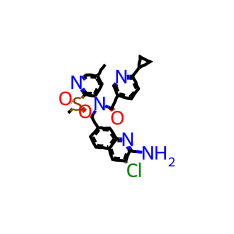 Cc1cnc(S(C)(=O)=O)c(N(Cc2ccc3cc(Cl)c(N)nc3c2)C(=O)c2ccc(C3CC3)nc2)c1